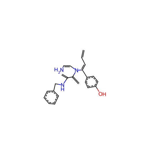 C=C/C=C(/c1ccc(O)cc1)N(/C=C\N)C(=C)C(=C)NCc1ccccc1